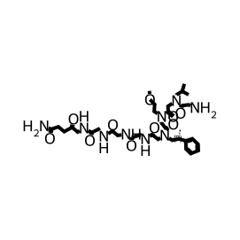 COCCN(CC(=O)N(CC(=O)NCC(=O)NCC(=O)NCC(=O)NCC(=O)CCC(N)=O)C[C@H](C)c1ccccc1)C(=O)CN(CC(C)C)C(=O)CN